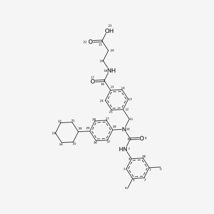 Cc1cc(C)cc(NC(=O)N(Cc2ccc(C(=O)NCCC(=O)O)cc2)c2ccc(C3CCCCC3)cc2)c1